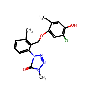 Cc1cc(O)c(Cl)cc1OCc1c(C)cccc1-n1nnn(C)c1=O